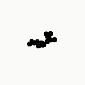 O=C(CN(CCOc1ccc2c(c1)oc1ccccc12)C(=O)c1ccccc1)c1ccc(OCc2ccccc2)c(N(Cc2ccccc2)S(=O)(=O)Cc2ccccc2)c1